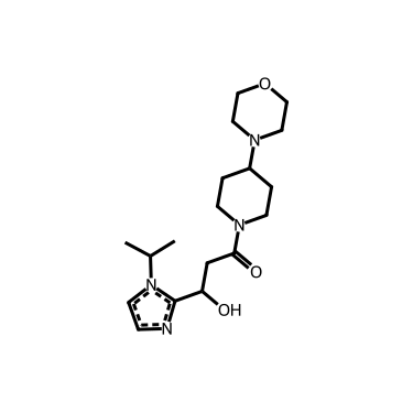 CC(C)n1ccnc1C(O)CC(=O)N1CCC(N2CCOCC2)CC1